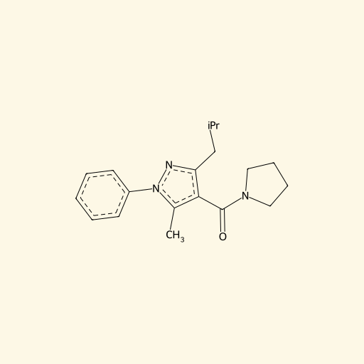 Cc1c(C(=O)N2CCCC2)c(CC(C)C)nn1-c1ccccc1